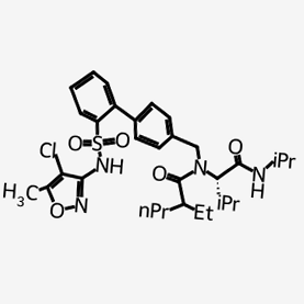 CCCC(CC)C(=O)N(Cc1ccc(-c2ccccc2S(=O)(=O)Nc2noc(C)c2Cl)cc1)[C@H](C(=O)NC(C)C)C(C)C